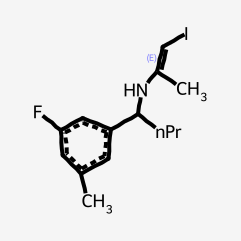 CCCC(N/C(C)=C/I)c1cc(C)cc(F)c1